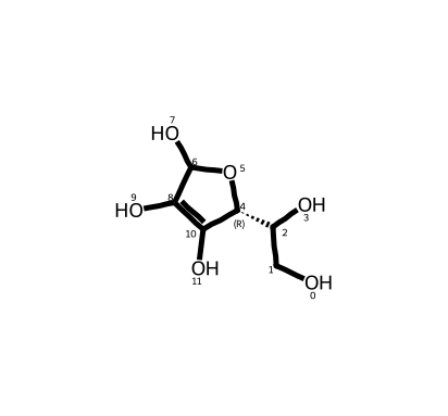 OCC(O)[C@H]1OC(O)C(O)=C1O